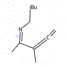 C=C=C(C)/C(C)=N\CC(C)CC